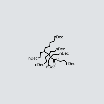 CCCCCCCCCCCCCCC(CCCCCCCCCCCC)C(CCCCCCCCCCCC)(CCCCCCCCCCCC)C(CCCCCCCCCCCC)(CCCCCCCCCCCC)C(=O)OCCCCCCCCCCCC